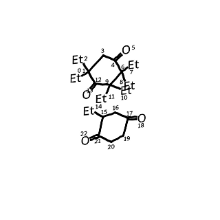 CCC1(CC)CC(=O)C(CC)(CC)C(CC)(CC)C1=O.CCC1CC(=O)CCC1=O